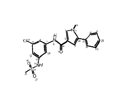 Cn1cc(C(=O)Nc2cc(Cl)cc(NS(C)(=O)=O)c2)cc1-c1ccccc1